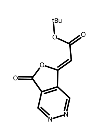 CC(C)(C)OC(=O)C=C1OC(=O)c2cnncc21